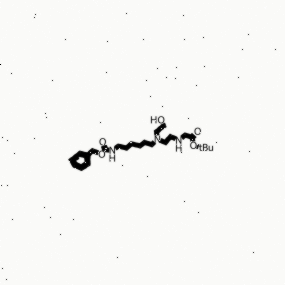 CC(C)(C)OC(=O)CNCCN(CCO)CCCCCCNC(=O)OCc1ccccc1